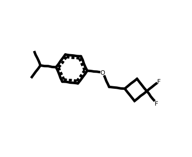 CC(C)c1ccc(OCC2CC(F)(F)C2)cc1